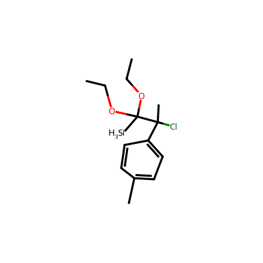 CCOC([SiH3])(OCC)C(C)(Cl)c1ccc(C)cc1